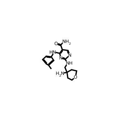 Cc1cccc(Nc2nc(NCC3(N)CCOCC3)ncc2C(N)=O)c1